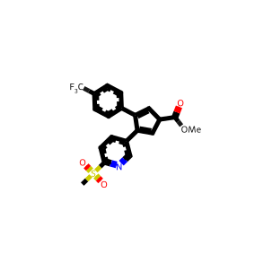 COC(=O)C1C=C(c2ccc(C(F)(F)F)cc2)C(c2ccc(S(C)(=O)=O)nc2)=C1